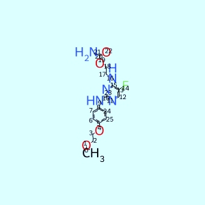 COCCOc1ccc(Nc2ncc(F)c(NCCOC(N)=O)n2)cc1